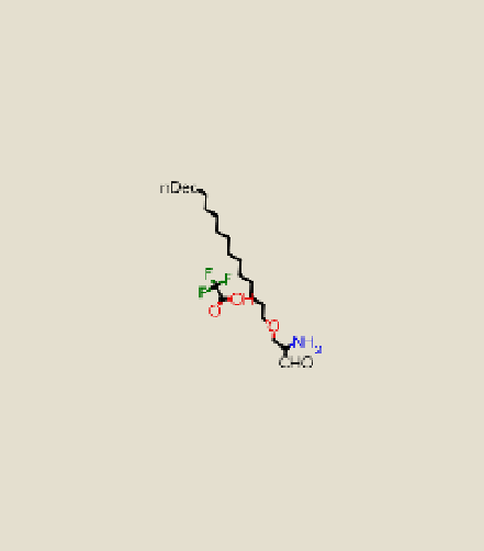 CCCCCCCCCCCCCCCCCCCCCCOCC(N)C=O.O=C(O)C(F)(F)F